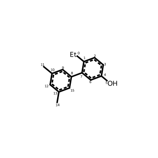 CCc1ccc(O)cc1-c1cc(C)cc(C)c1